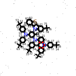 CC(C)(C)c1ccc(N(c2ccc(C(C)(C)C)cc2)c2ccc3c(c2)N(c2ccc(C(C)(C)C)cc2-c2ccccc2)c2cc(N(c4ccc(C(C)(C)C)cc4)c4ccc(C(C)(C)C)cc4)cc4c2B3c2cc(C(C)(C)C)cc3c5sc6ccccc6c5n-4c23)cc1